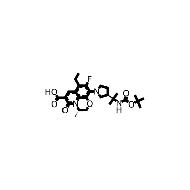 CCc1c(F)c(N2CC[C@@H](C(C)(C)NC(=O)OC(C)(C)C)C2)c2c3c1cc(C(=O)O)c(=O)n3[C@@H](C)CO2